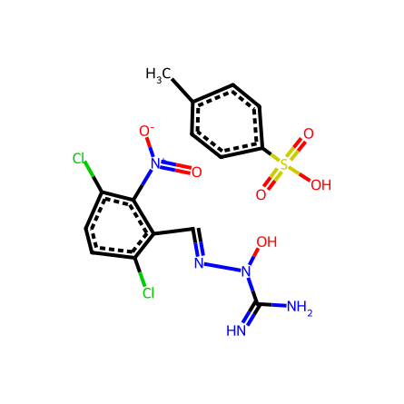 Cc1ccc(S(=O)(=O)O)cc1.N=C(N)N(O)/N=C/c1c(Cl)ccc(Cl)c1[N+](=O)[O-]